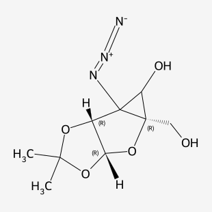 CC1(C)O[C@H]2O[C@]3(CO)C(O)C3(N=[N+]=[N-])[C@H]2O1